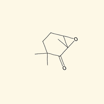 CC1(C)CCC2OC2(C)C1=O